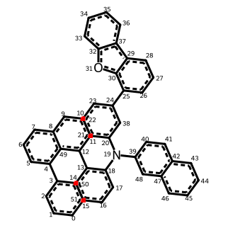 c1ccc(-c2cccc3cccc(-c4ccccc4N(c4cccc(-c5cccc6c5oc5ccccc56)c4)c4ccc5ccccc5c4)c23)cc1